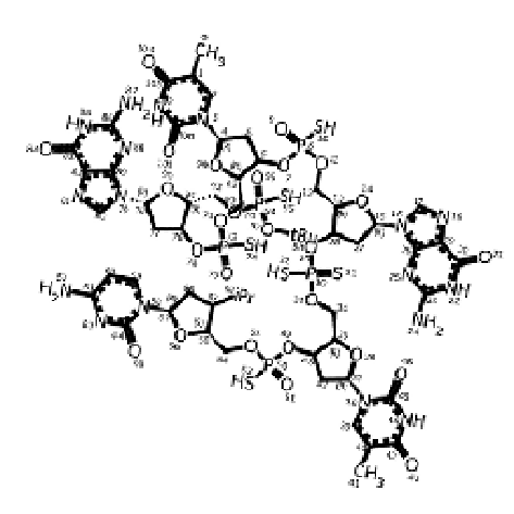 Cc1cn([C@H]2CC(OP(=O)(S)OC[C@H]3O[C@@H](n4cnc5c(=O)[nH]c(N)nc54)CC3OP(=S)(S)OC[C@H]3O[C@@H](n4cc(C)c(=O)[nH]c4=O)CC3OP(=O)(S)OC[C@H]3O[C@@H](n4ccc(N)nc4=O)CC3C(C)C)[C@@H](COP(=O)(S)OC3C[C@H](n4cnc5c(=O)[nH]c(N)nc54)O[C@@H]3COP(=O)(S)OC(C)(C)C)O2)c(=O)[nH]c1=O